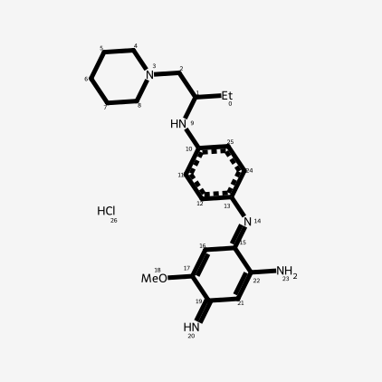 CCC(CN1CCCCC1)Nc1ccc(N=C2C=C(OC)C(=N)C=C2N)cc1.Cl